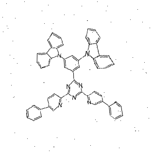 c1ccc(-c2ccc(-c3nc(-c4cc(-n5c6ccccc6c6ccccc65)cc(-n5c6ccccc6c6ccccc65)c4)nc(-c4ccc(-c5ccccc5)cn4)n3)nc2)cc1